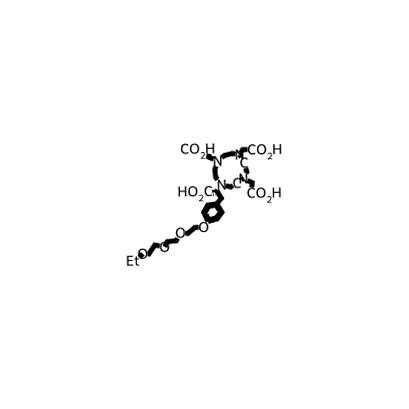 CCOCCOCCOCCOc1ccc(C[C@@H](C(=O)O)N2CCN(CC(=O)O)CCN(CC(=O)O)CCN(CC(=O)O)CC2)cc1